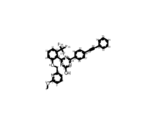 COc1cccc(COc2cccc(C(F)(F)F)c2-c2nc(O)nc(-c3ccc(C#Cc4ccccc4)cc3)n2)n1